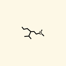 CCCC(CCB(C)C)C(C)C